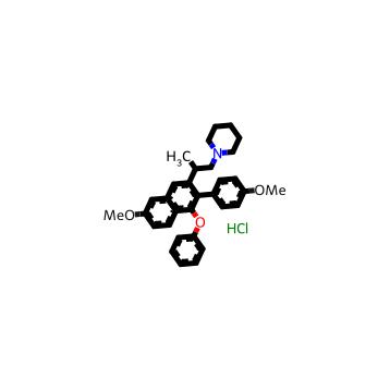 COc1ccc(-c2c(C(C)CN3CCCCC3)cc3cc(OC)ccc3c2Oc2ccccc2)cc1.Cl